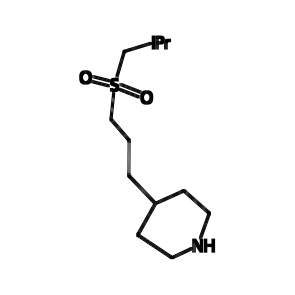 CC(C)CS(=O)(=O)CCCC1CCNCC1